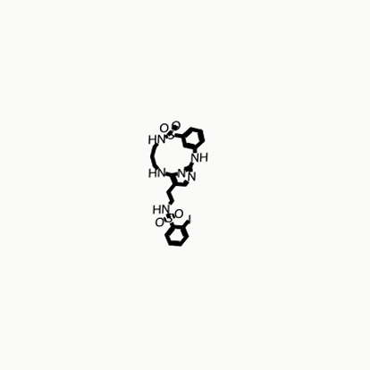 O=S1(=O)NCCCNc2nc(ncc2CCNS(=O)(=O)c2ccccc2I)Nc2cccc1c2